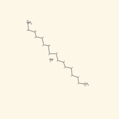 CCCCCCCCCCCCCCCCN.[Na]